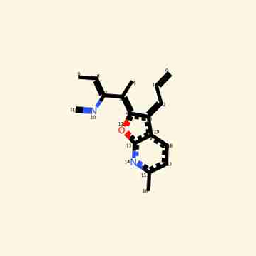 C=C\C=c1/c(=C(C)/C(=C/C)N=C)oc2nc(C)ccc12